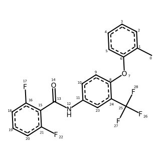 Cc1ccccc1Oc1ccc(NC(=O)c2c(F)cccc2F)cc1C(F)(F)F